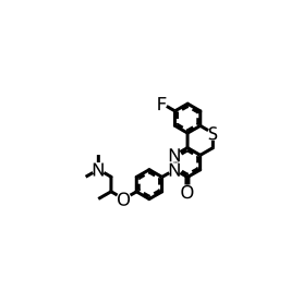 CC(CN(C)C)Oc1ccc(-n2nc3c(cc2=O)CSc2ccc(F)cc2-3)cc1